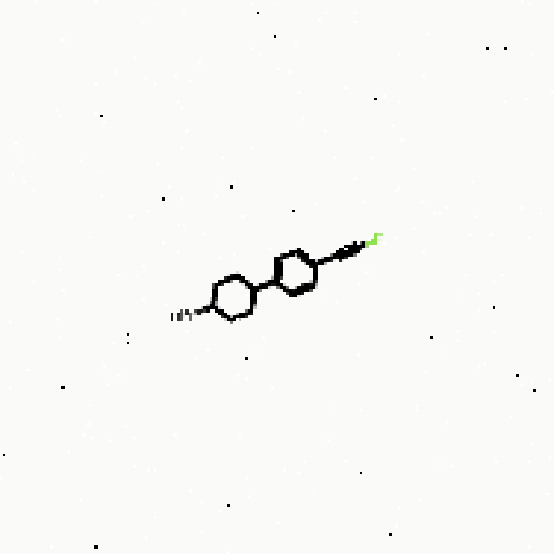 CCCC1CCC(c2ccc(C#CF)cc2)CC1